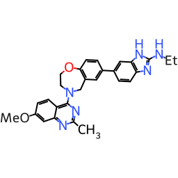 CCNc1nc2ccc(-c3ccc4c(c3)CN(c3nc(C)nc5cc(OC)ccc35)CCO4)cc2[nH]1